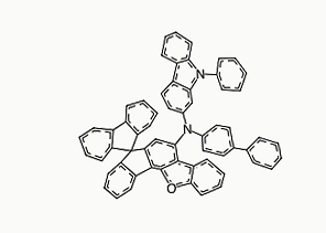 c1ccc(-c2ccc(N(c3ccc4c5ccccc5n(-c5ccccc5)c4c3)c3cc4c(c5oc6ccccc6c35)-c3ccccc3C43c4ccccc4-c4ccccc43)cc2)cc1